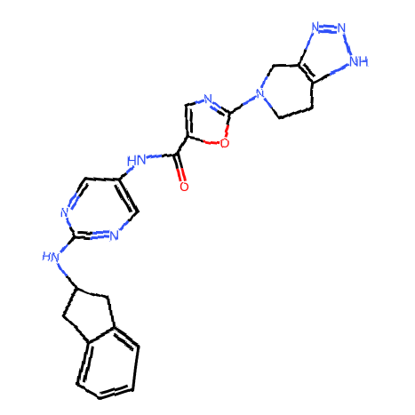 O=C(Nc1cnc(NC2Cc3ccccc3C2)nc1)c1cnc(N2CCc3[nH]nnc3C2)o1